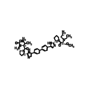 CCN(CC)[C@H](COC)C(=O)N1CCC[C@H]1c1ncc(-c2ccc(-c3ccc(-c4cnc([C@@H]5CCCN5C(=O)[C@H](C(C)C)N(C)C(=O)O)[nH]4)cc3)cc2)[nH]1